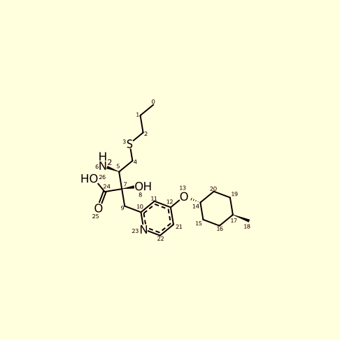 CCCSC[C@H](N)[C@](O)(Cc1cc(O[C@H]2CC[C@H](C)CC2)ccn1)C(=O)O